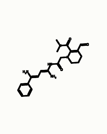 CN(C)C(=O)C1=C(C=O)CCCN1CC(=O)N/C(N)=C/C=C(\N)c1ccccc1